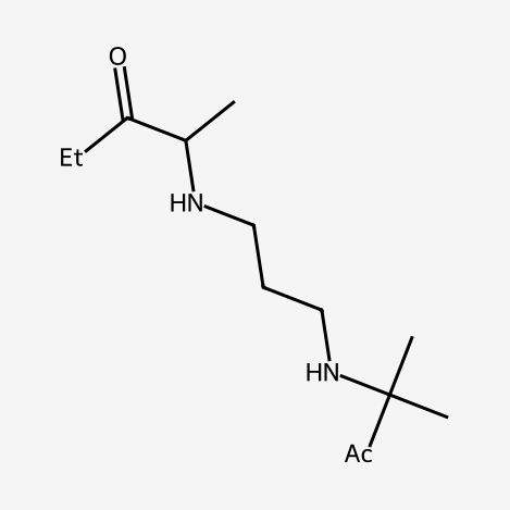 CCC(=O)C(C)NCCCNC(C)(C)C(C)=O